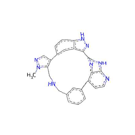 Cn1ncc2c1CNCc1cccc(c1)-c1ccnc3[nH]c(nc13)-c1n[nH]c3ccc-2cc13